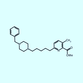 COC(=O)c1nc(CCCCCN2CCN(Cc3ccccc3)CC2)ccc1C